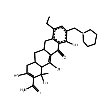 CCc1cc(CN2CCCCC2)c(O)c2c1CC1CC3CC(O)=C(C(N)=O)C(C)(O)C3C(O)=C1C2=O